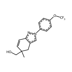 CC1(CO)C=Cc2nn(-c3ccc(OC(F)(F)F)cc3)cc2C1